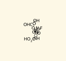 O=Cc1cc(O)ccc1-c1cccc(-n2c(=O)n([C@H]3CC[C@@H](NC(=O)O)CC3)c(=O)c3cc(F)cnc32)c1